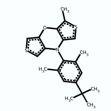 Cc1cc(C(C)(C)C)cc(C)c1N1c2cscc2Oc2c1csc2C